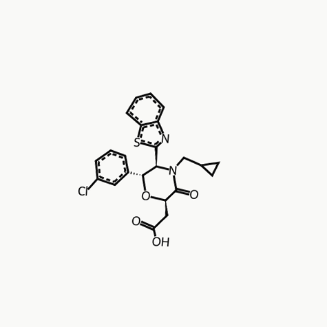 O=C(O)C[C@H]1O[C@H](c2cccc(Cl)c2)[C@@H](c2nc3ccccc3s2)N(CC2CC2)C1=O